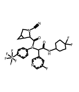 N#CN1CC2CC2C1C(=O)N(c1ccc(S(F)(F)(F)(F)F)cc1)C(C(=O)NC1CCC(F)(F)CC1)c1cncc(F)c1